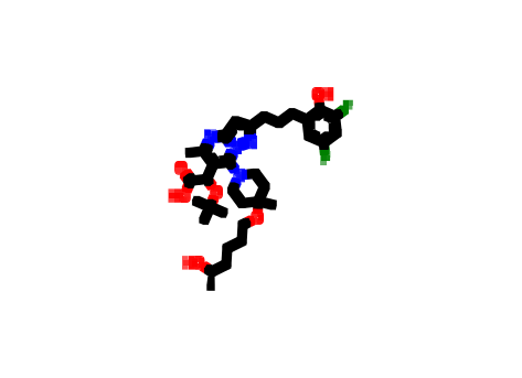 Cc1nc2cc(CCCc3cc(F)cc(F)c3O)nn2c(N2CCC(C)(OCCCC[C@@H](C)O)CC2)c1C(OC(C)(C)C)C(=O)O